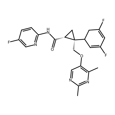 Cc1ncc(OC[C@@]2(C3C=C(F)C=C(F)C3)C[C@H]2C(=O)Nc2ccc(F)cn2)c(C)n1